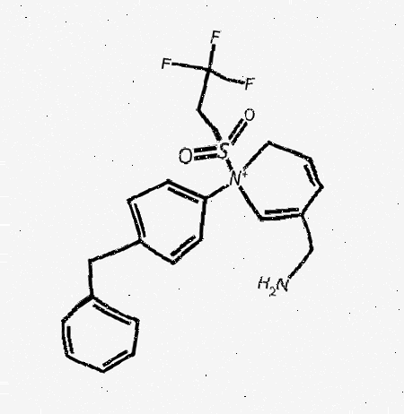 NCC1=C[N+](c2ccc(Cc3ccccc3)cc2)(S(=O)(=O)CC(F)(F)F)CC=C1